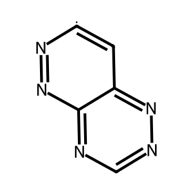 [c]1cc2nncnc2nn1